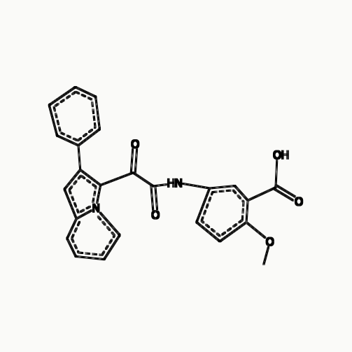 COc1ccc(NC(=O)C(=O)c2c(-c3ccccc3)cc3ccccn23)cc1C(=O)O